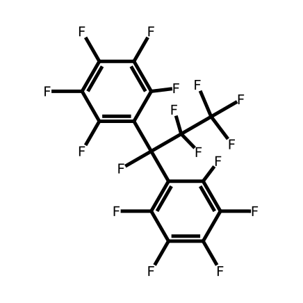 Fc1c(F)c(F)c(C(F)(c2c(F)c(F)c(F)c(F)c2F)C(F)(F)C(F)(F)F)c(F)c1F